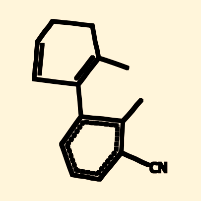 CC1=C(c2cccc(C#N)c2C)C=CCC1